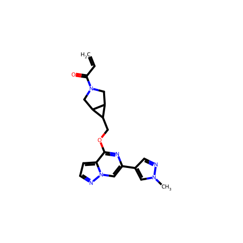 C=CC(=O)N1CC2C(COc3nc(-c4cnn(C)c4)cn4nccc34)C2C1